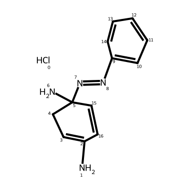 Cl.NC1=CCC(N)(N=Nc2ccccc2)C=C1